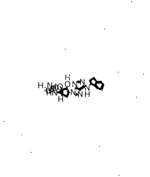 NS(=O)(=O)NC1[C@H]2C[C@@H](n3cnc4c(N[C@H]5CCc6ccccc65)ncnc43)[C@H](O)[C@@]12O